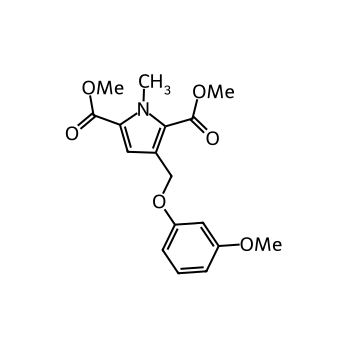 COC(=O)c1cc(COc2cccc(OC)c2)c(C(=O)OC)n1C